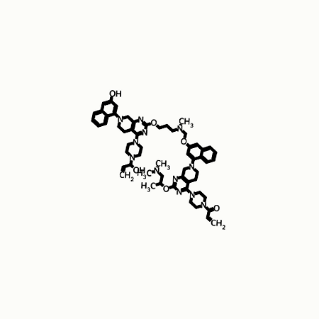 C=CC(=O)N1CCN(c2nc(OC(C)CN(C)C)nc3c2CCN(c2cc(OCN(C)CCCOc4nc5c(c(N6CCN(C(O)C=C)CC6)n4)CCN(c4cc(O)cc6ccccc46)C5)cc4ccccc24)C3)CC1